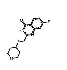 O=c1[nH]c(CSC2CCOCC2)nc2cc(F)ccc12